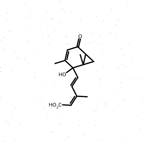 CC1=CC(=O)C2CC2(C)C1(O)/C=C/C(C)=C\C(=O)O